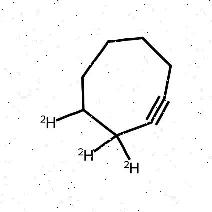 [2H]C1CCCCC#CC1([2H])[2H]